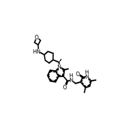 Cc1cc(C)c(CNC(=O)c2c(C)n([C@H](C)C3CCC(NC4COC4)CC3)c3ccccc23)c(=O)[nH]1